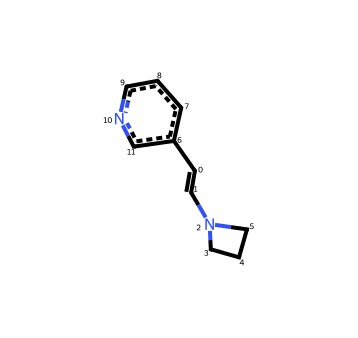 C(=C\N1CCC1)/c1cccnc1